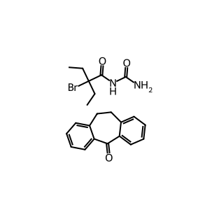 CCC(Br)(CC)C(=O)NC(N)=O.O=C1c2ccccc2CCc2ccccc21